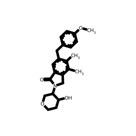 COc1ccc(Cc2cc3c(c(C)c2C)CN(C2COCCC2O)C3=O)cc1